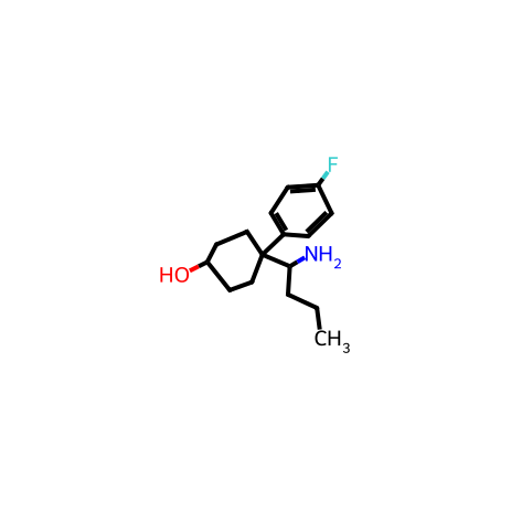 CCCC(N)C1(c2ccc(F)cc2)CCC(O)CC1